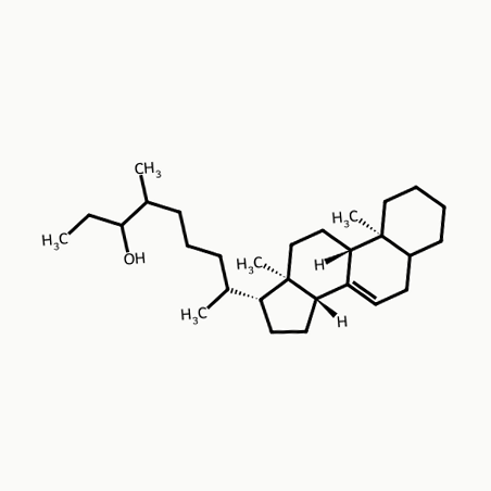 CCC(O)C(C)CCCC(C)[C@H]1CC[C@H]2C3=CCC4CCCC[C@]4(C)[C@H]3CC[C@]12C